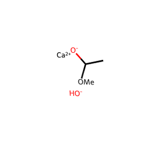 COC(C)[O-].[Ca+2].[OH-]